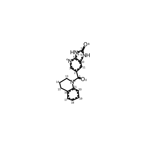 O=C(c1cnc2[nH]c(=O)[nH]c2c1)N1CCCc2ccccc21